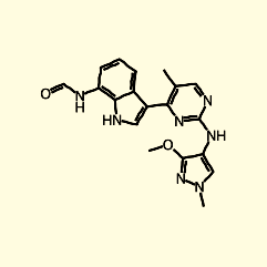 COc1nn(C)cc1Nc1ncc(C)c(-c2c[nH]c3c(NC=O)cccc23)n1